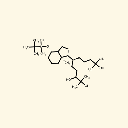 CC(C)(O)CCC[C@@H](CCC(O)C(C)(C)O)[C@H]1CCC2[C@@H](O[Si](C)(C)C(C)(C)C)CCC[C@@]21C